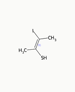 C/C(S)=C(/C)I